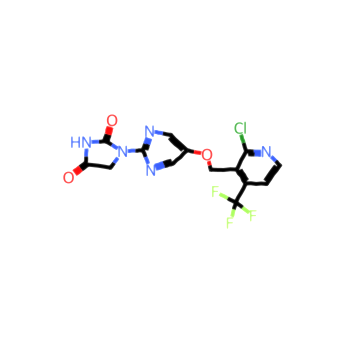 O=C1CN(c2ncc(OCc3c(C(F)(F)F)ccnc3Cl)cn2)C(=O)N1